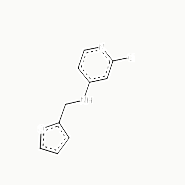 Clc1cc(NCc2ccco2)ccn1